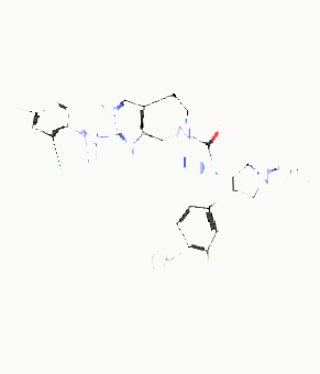 CN1C[C@@H](NC(=O)N2CCc3cnc(Nc4ccc(F)cc4Cl)nc3C2)[C@H](c2ccc(Cl)c(F)c2)C1